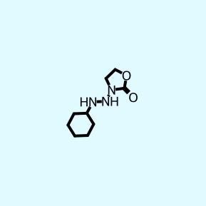 O=C1OCCN1NNC1CCCCC1